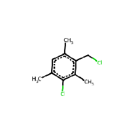 Cc1cc(C)c(CCl)c(C)c1Cl